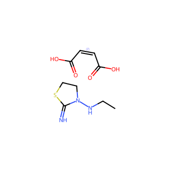 CCNN1CCSC1=N.O=C(O)/C=C\C(=O)O